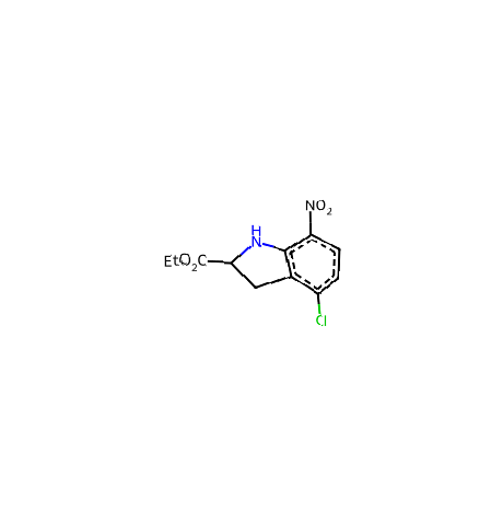 CCOC(=O)C1Cc2c(Cl)ccc([N+](=O)[O-])c2N1